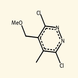 COCc1c(Cl)nnc(Cl)c1C